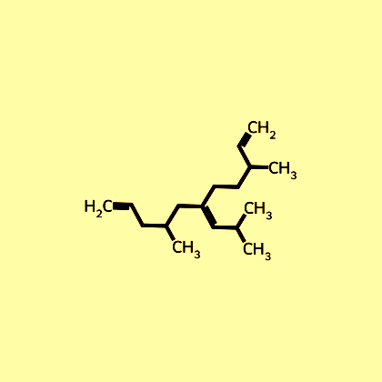 C=CCC(C)CC(=CC(C)C)CCC(C)C=C